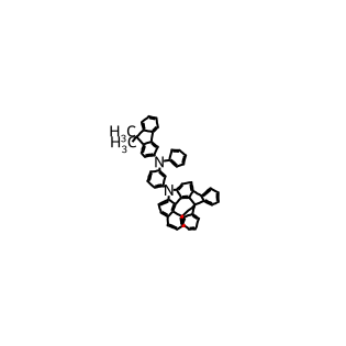 CC1(C)c2ccccc2-c2cc(N(c3ccccc3)c3cccc(-n4c5ccc6c7c5c5c8c(cccc8ccc54)C7(c4ccccc4)c4ccccc4-6)c3)ccc21